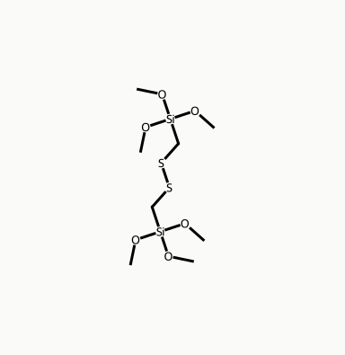 CO[Si](CSSC[Si](OC)(OC)OC)(OC)OC